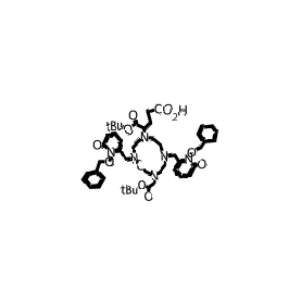 CC(C)(C)OC(=O)CN1CCN(Cc2cccc(=O)n2OCc2ccccc2)CCN(C(CCC(=O)O)C(=O)OC(C)(C)C)CCN(Cc2cccc(=O)n2OCc2ccccc2)CC1